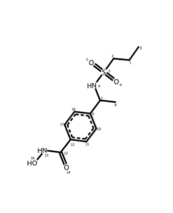 CCCS(=O)(=O)NC(C)c1ccc(C(=O)NO)cc1